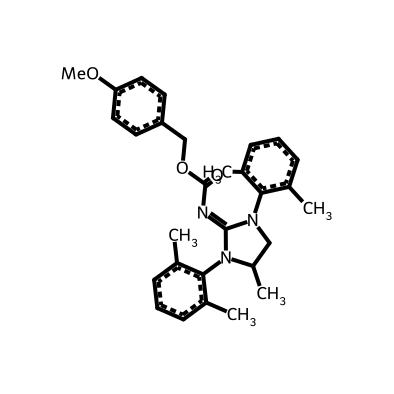 COc1ccc(COC(=O)N=C2N(c3c(C)cccc3C)CC(C)N2c2c(C)cccc2C)cc1